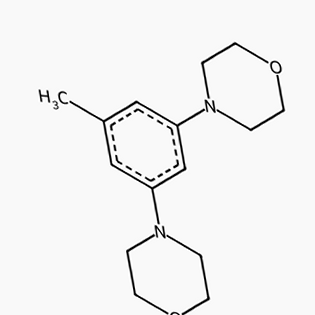 Cc1cc(N2CCOCC2)cc(N2CCOCC2)c1